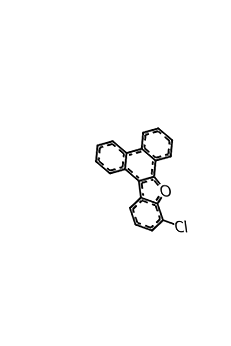 Clc1cccc2c1oc1c3ccccc3c3ccccc3c21